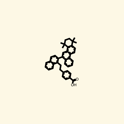 CC1(C)CCC(C)(C)c2c1ccc1c2cc(-c2ccc3ccccc3c2CCc2ccc(C(=O)O)cc2)c2ccccc21